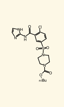 CC[C@@H](C)OC(=O)N1CCN(S(=O)(=O)c2ccc(Cl)c(C(=O)Nc3ncc[nH]3)c2)CC1